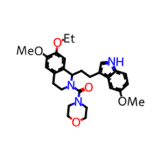 CCOc1cc2c(cc1OC)CCN(C(=O)N1CCOCC1)C2CCc1c[nH]c2ccc(OC)cc12